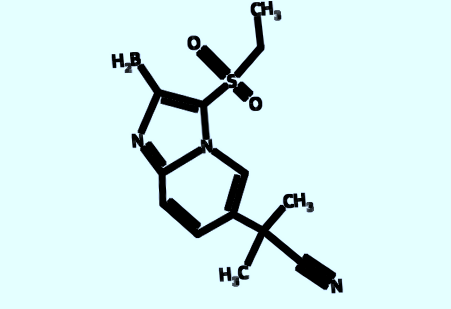 Bc1nc2ccc(C(C)(C)C#N)cn2c1S(=O)(=O)CC